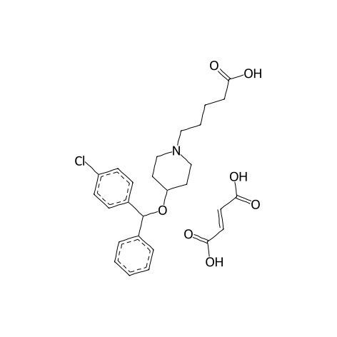 O=C(O)C=CC(=O)O.O=C(O)CCCCN1CCC(OC(c2ccccc2)c2ccc(Cl)cc2)CC1